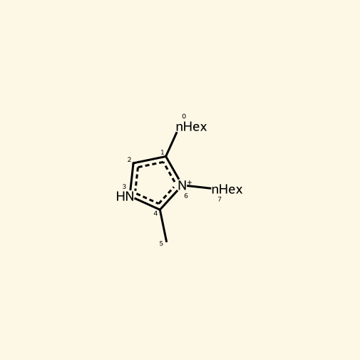 CCCCCCc1c[nH]c(C)[n+]1CCCCCC